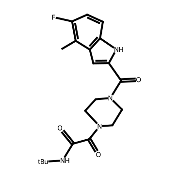 Cc1c(F)ccc2[nH]c(C(=O)N3CCN(C(=O)C(=O)NC(C)(C)C)CC3)cc12